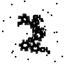 Cc1ccc(-c2ccccc2)c(C(=O)N2CC[C@H]3CN(c4nc(-c5cccc(F)c5)c(C)o4)[C@H]3C2)c1